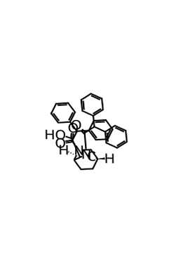 O=C(O)[C@@H]1C2CC[C@@H](CN2C(=O)C(c2ccccc2)c2ccccc2)CN1C(=O)C(c1ccccc1)c1ccccc1